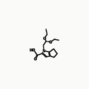 CCOC(Cn1c(C(=O)O)cc2c1CCC2)OCC